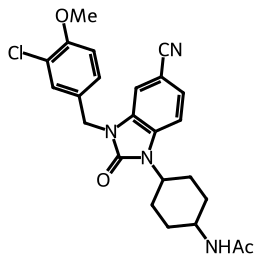 COc1ccc(Cn2c(=O)n(C3CCC(NC(C)=O)CC3)c3ccc(C#N)cc32)cc1Cl